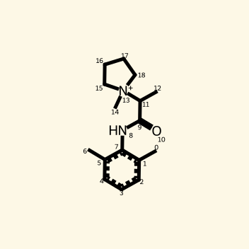 Cc1cccc(C)c1NC(=O)C(C)[N+]1(C)CCCC1